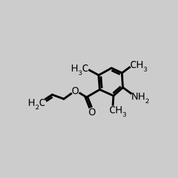 C=CCOC(=O)c1c(C)cc(C)c(N)c1C